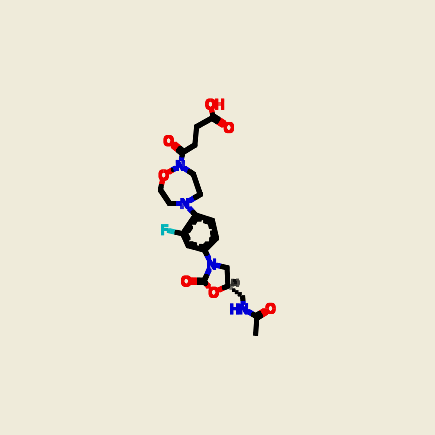 CC(=O)NC[C@H]1CN(c2ccc(N3CCON(C(=O)CCC(=O)O)CC3)c(F)c2)C(=O)O1